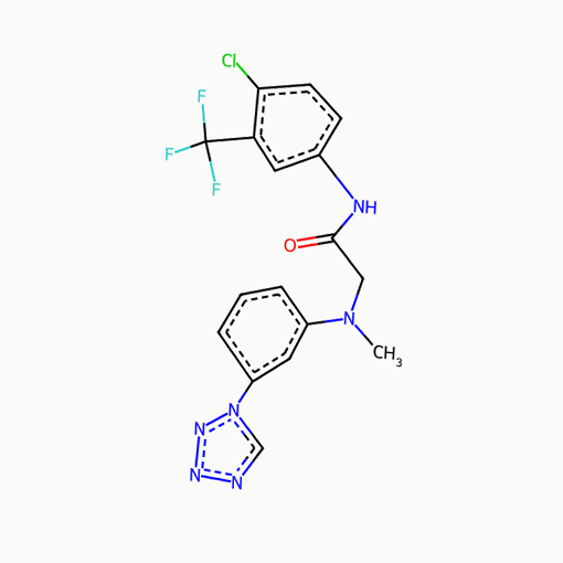 CN(CC(=O)Nc1ccc(Cl)c(C(F)(F)F)c1)c1cccc(-n2cnnn2)c1